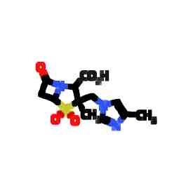 Cc1cn(C[C@@]2(C)C(C(=O)O)N3C(=O)CC3S2(=O)=O)cn1